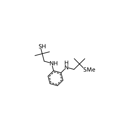 CSC(C)(C)CNc1ccccc1NCC(C)(C)S